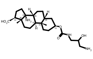 C[C@]12CC[C@H](OC(=O)NCC(O)CN)C[C@H]1CC[C@@H]1[C@@H]2CC[C@]2(C)[C@@H](C(=O)O)CC[C@]12N